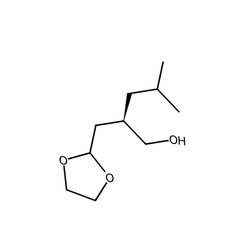 CC(C)C[C@@H](CO)CC1OCCO1